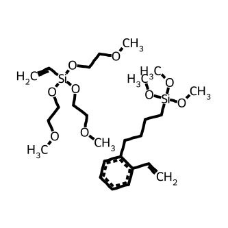 C=C[Si](OCCOC)(OCCOC)OCCOC.C=Cc1ccccc1CCCC[Si](OC)(OC)OC